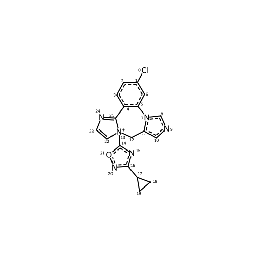 Clc1ccc2c(c1)-n1cncc1C[N+]1(c3nc(C4CC4)no3)C=CN=C21